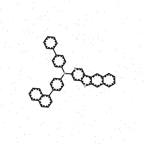 c1ccc(-c2ccc(N(c3ccc(-c4cccc5ccccc45)cc3)c3cc4oc5cc6ccccc6cc5c4cn3)cc2)cc1